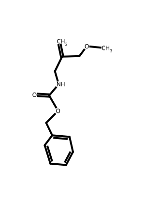 C=C(CNC(=O)OCc1ccccc1)COC